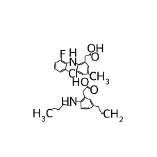 C=CCc1ccc(NCCCCC)c(CC(=O)O)c1.Cc1ccc(Nc2c(F)cccc2Cl)c(CC(=O)O)c1